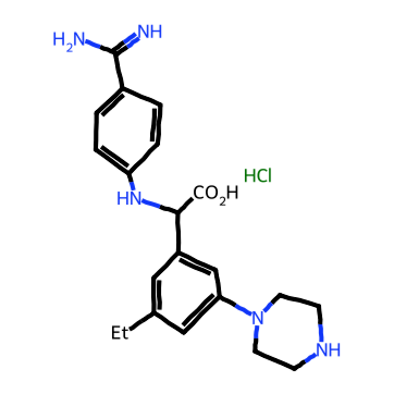 CCc1cc(C(Nc2ccc(C(=N)N)cc2)C(=O)O)cc(N2CCNCC2)c1.Cl